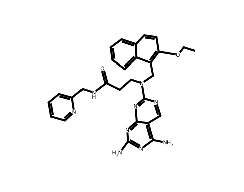 CCOc1ccc2ccccc2c1CN(CCC(=O)NCc1ccccn1)c1ncc2c(N)nc(N)nc2n1